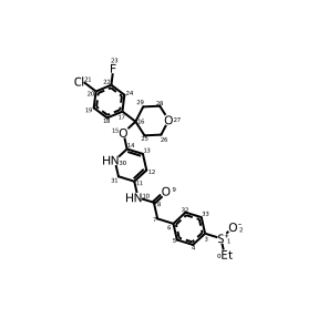 CC[S+]([O-])c1ccc(CC(=O)NC2=CC=C(OC3(c4ccc(Cl)c(F)c4)CCOCC3)NC2)cc1